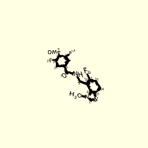 COc1c(F)cc(C(=O)NCc2c(F)ccc3ncn(C)c23)cc1F